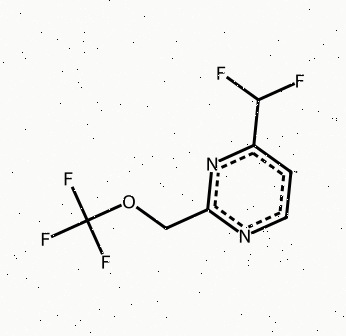 FC(F)c1[c]cnc(COC(F)(F)F)n1